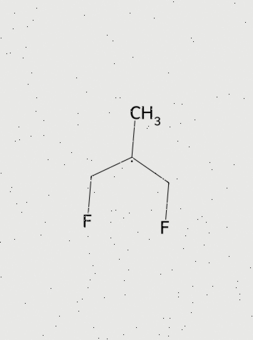 C[C](CF)CF